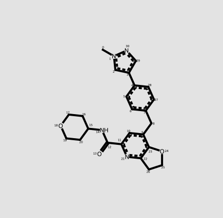 Cn1cc(-c2ccc(Cc3cc(C(=O)NC4CCOCC4)nc4c3OCC4)cc2)cn1